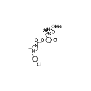 COC(=O)NS(=O)(=O)Cc1cc(Cl)ccc1OCC(=O)N1C[C@H](C)N(Cc2ccc(Cl)cc2)C[C@H]1C